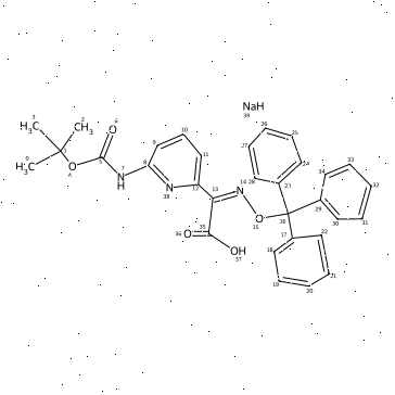 CC(C)(C)OC(=O)Nc1cccc(C(=NOC(c2ccccc2)(c2ccccc2)c2ccccc2)C(=O)O)n1.[NaH]